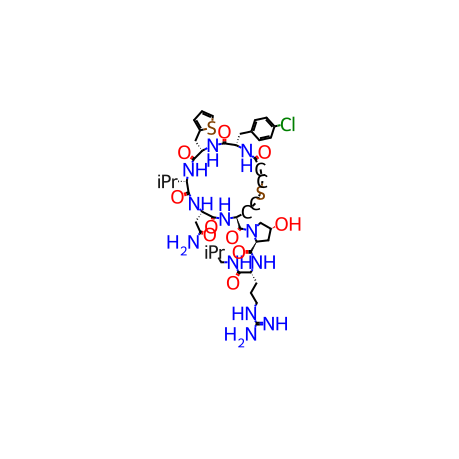 CC(C)CNC(=O)[C@@H](CCCNC(=N)N)NC(=O)[C@@H]1C[C@@H](O)CN1C(=O)[C@@H]1CCSCCC(=O)N[C@@H](Cc2ccc(Cl)cc2)C(=O)N[C@@H](Cc2cccs2)C(=O)N[C@@H](C(C)C)C(=O)N[C@@H](CC(N)=O)C(=O)N1